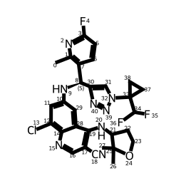 Cc1nc(F)ccc1[C@H](Nc1cc(Cl)c2ncc(C#N)c(NC3CCOC3(C)C)c2c1)c1cn(C2(C(F)F)CC2)nn1